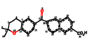 CC1(C)CCc2cc(C(=O)c3ccc4cc(C(=O)O)ccc4c3)ccc2O1